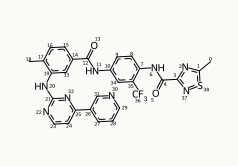 Cc1nc(C(=O)Nc2ccc(NC(=O)c3ccc(C)c(Nc4nccc(-c5cccnc5)n4)c3)cc2C(F)(F)F)ns1